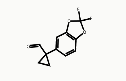 O=[C]C1(c2ccc3c(c2)OC(F)(F)O3)CC1